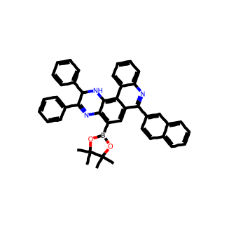 CC1(C)OB(c2cc3c(-c4ccc5ccccc5c4)nc4ccccc4c3c3c2N=C(c2ccccc2)C(c2ccccc2)N3)OC1(C)C